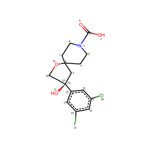 O=C(O)N1CCC2(CC1)C[C@](O)(c1cc(F)cc(Cl)c1)CO2